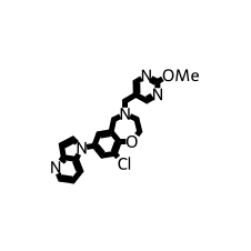 COc1ncc(CN2CCOc3c(Cl)cc(-n4ccc5ncccc54)cc3C2)cn1